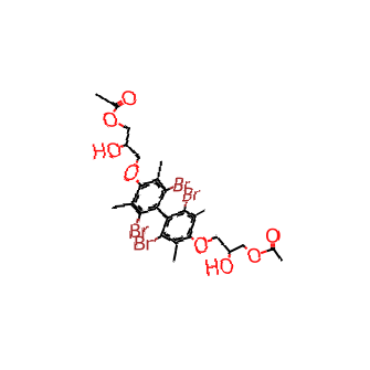 CC(=O)OCC(O)COc1c(C)c(Br)c(-c2c(Br)c(C)c(OCC(O)COC(C)=O)c(C)c2Br)c(Br)c1C